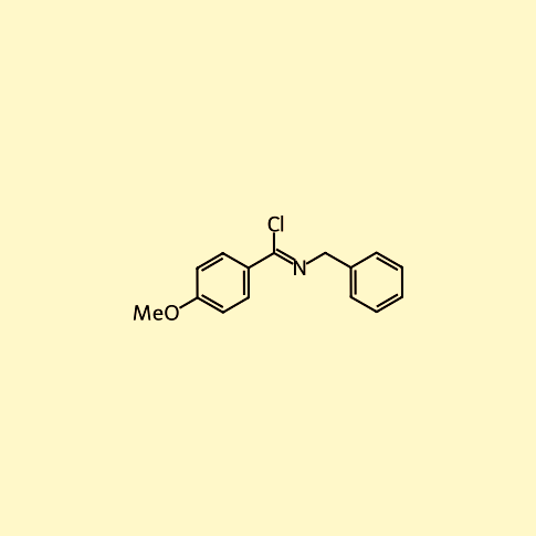 COc1ccc(C(Cl)=NCc2ccccc2)cc1